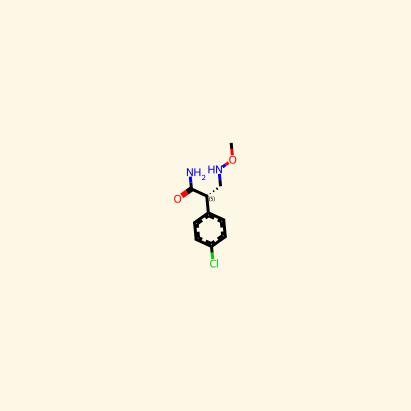 CONC[C@@H](C(N)=O)c1ccc(Cl)cc1